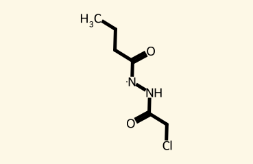 CCCC(=O)[N]NC(=O)CCl